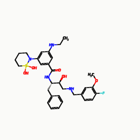 CCNc1cc(C(=O)N[C@@H](Cc2ccccc2)[C@@H](O)CNCc2ccc(F)c(OC)c2)cc(N2CCCCS2(O)O)c1